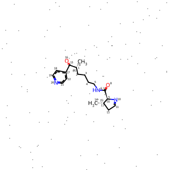 C[C@H](CCCCNC(=O)[C@H]1N=CC[C@@H]1C)C(=O)c1ccncc1